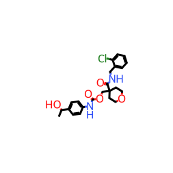 CC(O)c1ccc(NC(=O)OCC2(C(=O)NCc3ccccc3Cl)CCOCC2)cc1